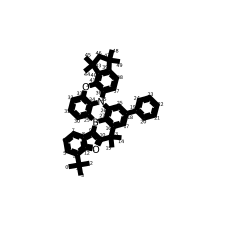 CC(C)(C)c1cccc2c3c(oc12)C(C)(C)c1cc(-c2ccccc2)cc2c1B3c1cccc3c1N2c1ccc2c(c1O3)C(C)(C)CC2(C)C